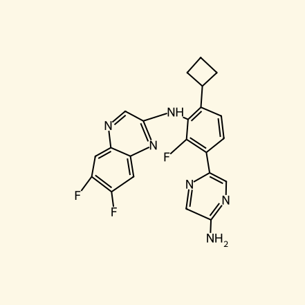 Nc1cnc(-c2ccc(C3CCC3)c(Nc3cnc4cc(F)c(F)cc4n3)c2F)cn1